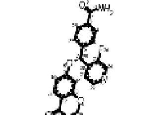 NC(=O)c1ccc([C@@H](Oc2ccc3c(c2)OCCC3=O)c2ccncc2F)cc1